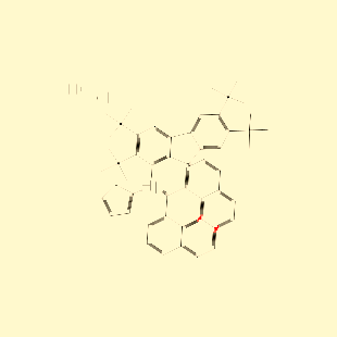 CC(C)(C)c1cc2c(cc1C(C)(C)C)-c1cc(C(C)(C)C)c(C(C)(C)C)[c]([Hf]([C]3=CC=CC3)=[C](c3cccc4ccccc34)c3cccc4ccccc34)c1C2.Cl.Cl